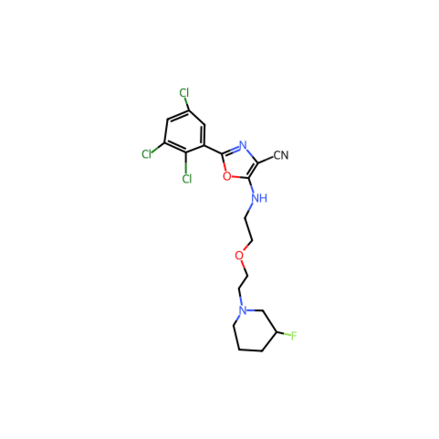 N#Cc1nc(-c2cc(Cl)cc(Cl)c2Cl)oc1NCCOCCN1CCCC(F)C1